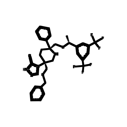 C[C@@H](OC[C@@]1(c2ccccc2)CC[C@](COCc2ccccc2)(n2cn[nH]c2=O)CN1)c1cc(C(F)(F)F)cc(C(F)(F)F)c1